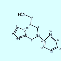 NCCCN(Cc1nccs1)c1ccccn1